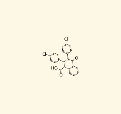 O=C(O)C1c2ccccc2C(=O)N(c2ccc(Cl)cc2)C1c1ccc(Cl)cc1